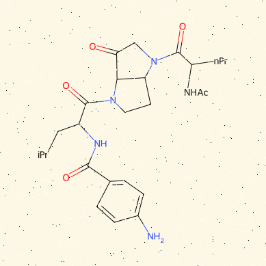 CCCC(NC(C)=O)C(=O)N1CC(=O)C2C1CCN2C(=O)C(CC(C)C)NC(=O)c1ccc(N)cc1